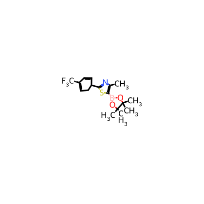 Cc1nc(C2C=CC(C(F)(F)F)=CC2)sc1B1OC(C)(C)C(C)(C)O1